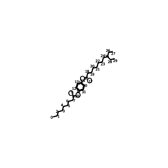 CCCCCCCCC(=O)Oc1ccc(OC(=O)CCCCCCCC(CC)CC)cc1